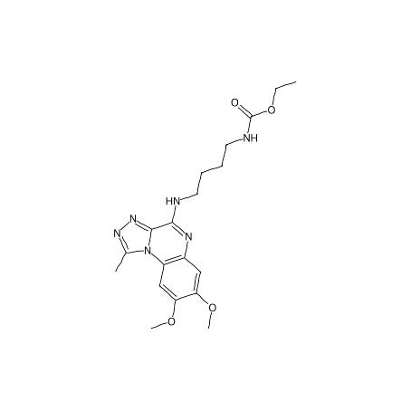 CCOC(=O)NCCCCNc1nc2cc(OC)c(OC)cc2n2c(C)nnc12